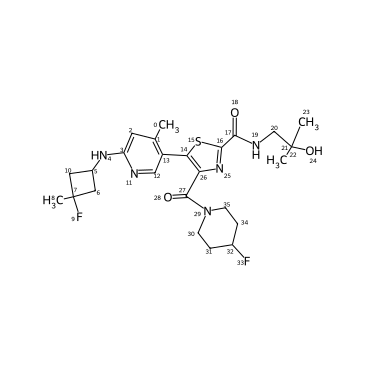 Cc1cc(NC2CC(C)(F)C2)ncc1-c1sc(C(=O)NCC(C)(C)O)nc1C(=O)N1CCC(F)CC1